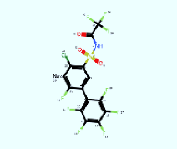 O=C(NS(=O)(=O)c1cc(-c2c(F)c(F)c(F)c(F)c2F)c(F)cc1Cl)C(F)(F)F.[Na]